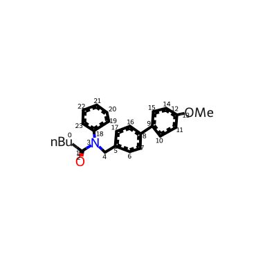 CCCCC(=O)N(Cc1ccc(-c2ccc(OC)cc2)cc1)c1ccccc1